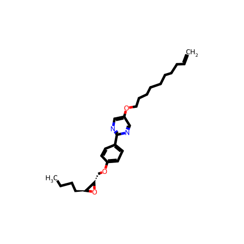 C=CCCCCCCCCOc1cnc(-c2ccc(OC[C@@H]3O[C@H]3CCCC)cc2)nc1